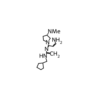 C=C(/N=C(\C=C/N)N1CC[C@@H](NC)C1)NCC1CCCC1